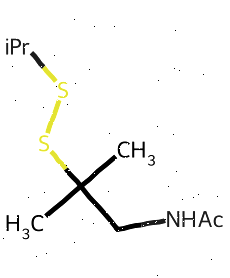 CC(=O)NCC(C)(C)SSC(C)C